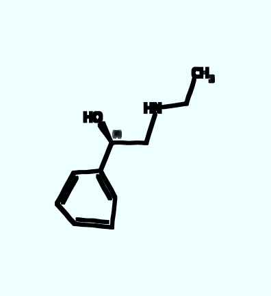 CCNC[C@H](O)c1ccccc1